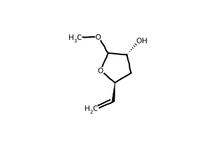 C=C[C@@H]1C[C@@H](O)C(OC)O1